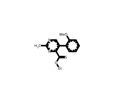 CCOC(=S)c1nc(C)ncc1-c1ccccc1OC